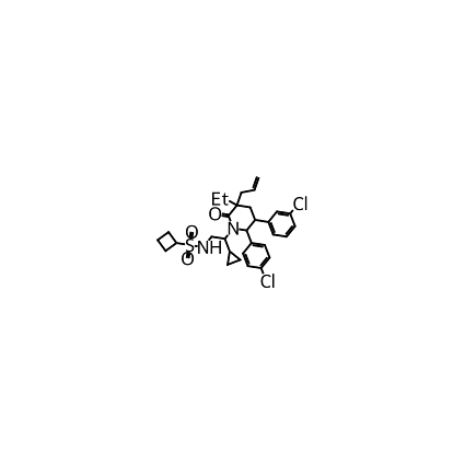 C=CCC1(CC)CC(c2cccc(Cl)c2)C(c2ccc(Cl)cc2)N(C(CNS(=O)(=O)C2CCC2)C2CC2)C1=O